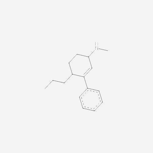 CCCC1CCC(NC)C=C1c1ccccc1